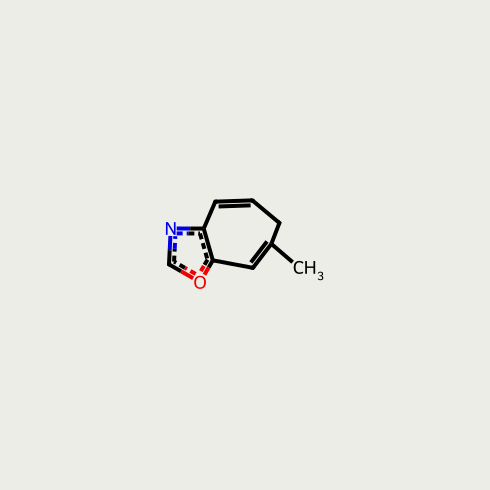 CC1=Cc2ocnc2C=CC1